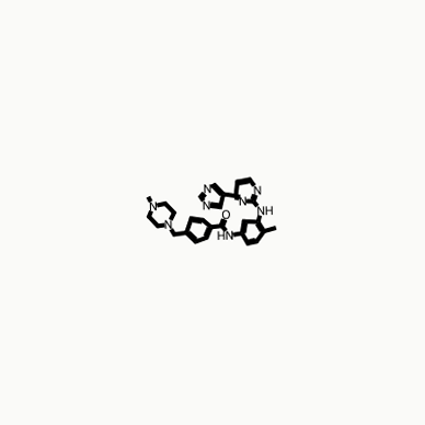 Cc1ccc(NC(=O)c2ccc(CN3CCN(C)CC3)cc2)cc1Nc1nccc(-c2cncnc2)n1